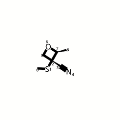 CS[C@]1(C#N)CO[C@H]1C